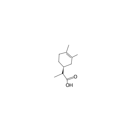 CC1=C(C)C[C@@H](C(C)C(=O)O)CC1